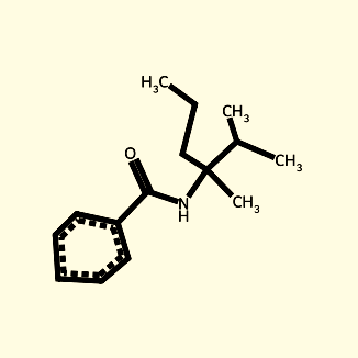 CCCC(C)(NC(=O)c1ccccc1)C(C)C